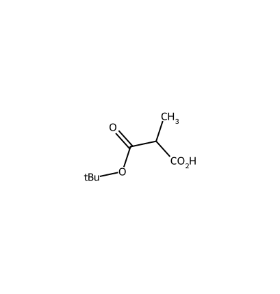 CC(C(=O)O)C(=O)OC(C)(C)C